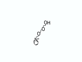 OCCOCCOCC[n+]1ccccc1